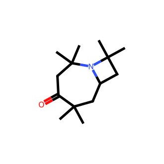 CC1(C)CC2CC(C)(C)N2C(C)(C)CC1=O